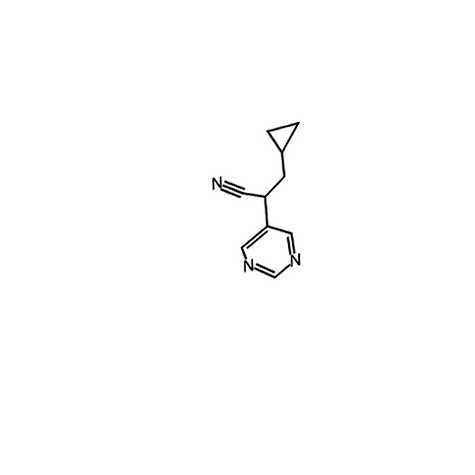 N#CC(CC1CC1)c1cncnc1